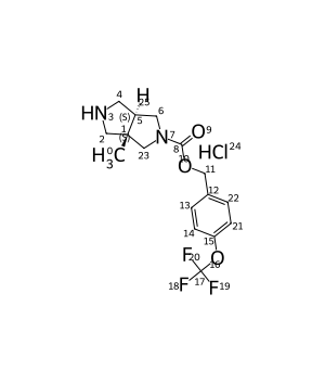 C[C@@]12CNC[C@H]1CN(C(=O)OCc1ccc(OC(F)(F)F)cc1)C2.Cl